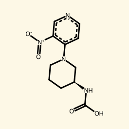 O=C(O)N[C@H]1CCCN(c2ccncc2[N+](=O)[O-])C1